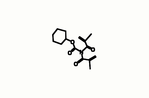 C=C(C)C(=O)N(C(=O)OC1CCCCC1)C(=O)C(=C)C